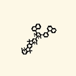 CC1(C)c2cc3c(cc2-c2ncccc21)C(C)(C)c1cc(-c2nc(-c4cccc(-c5cccc6ccccc56)c4)cc(-c4cccc5ccccc45)n2)cnc1-3